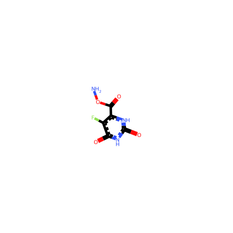 NOC(=O)c1[nH]c(=O)[nH]c(=O)c1F